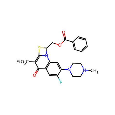 CCOC(=O)c1c2n(c3cc(N4CCN(C)CC4)c(F)cc3c1=O)C(COC(=O)c1ccccc1)S2